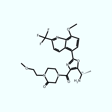 COCCN1CCN(C(=O)c2nc(-c3ccc(OC)c4nc(C(F)(F)F)ccc34)oc2[C@H](C)N)CC1=O